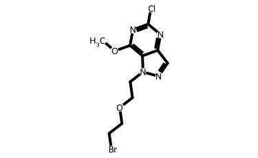 COc1nc(Cl)nc2cnn(CCOCCBr)c12